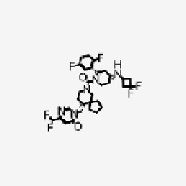 O=C(N1CC[C@@H](Cn2cnc(C(F)F)cc2=O)C2(CCCC2)C1)N1CC[C@@H](NC2CC(F)(F)C2)C[C@H]1c1cc(F)ccc1F